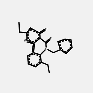 CCc1cc(=O)c(C(=O)N(Cc2ccccc2)c2c(CC)cccc2CC)c(C)[nH]1